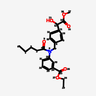 CCCCC(=O)N(Cc1ccc(C(O)C(=O)OC)cc1)c1cccc(C(=O)OCC)c1